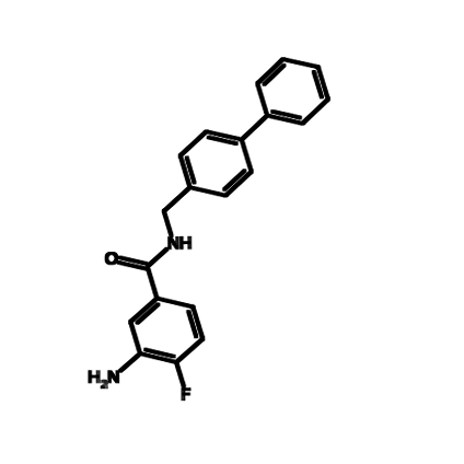 Nc1cc(C(=O)NCc2ccc(-c3ccccc3)cc2)ccc1F